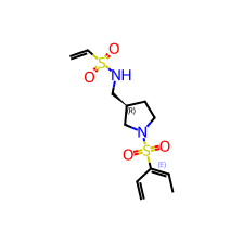 C=C/C(=C\C)S(=O)(=O)N1CC[C@H](CNS(=O)(=O)C=C)C1